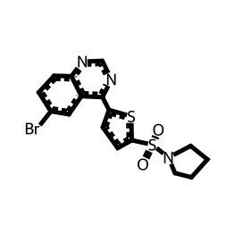 O=S(=O)(c1ccc(-c2ncnc3ccc(Br)cc23)s1)N1CCCC1